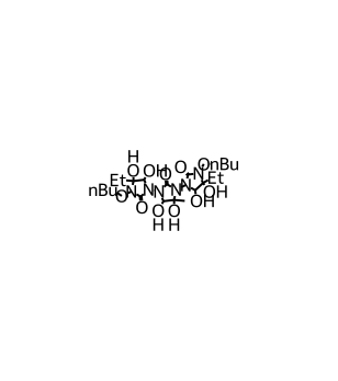 CCCCON1C(=O)N(N2C(=O)N(N3C(=O)N(OCCCC)C(O)(CC)C3O)C(C)(O)C2O)C(O)C1(O)CC